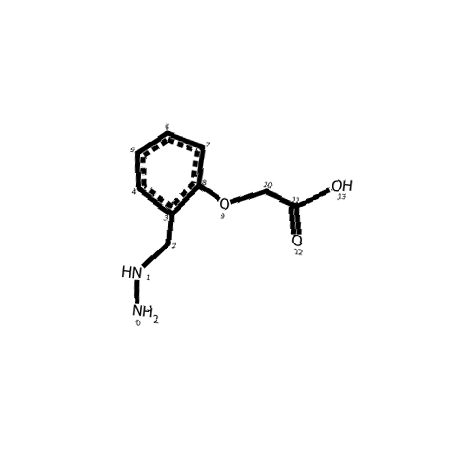 NNCc1ccccc1OCC(=O)O